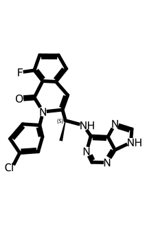 C[C@H](Nc1ncnc2[nH]cnc12)c1cc2cccc(F)c2c(=O)n1-c1ccc(Cl)cc1